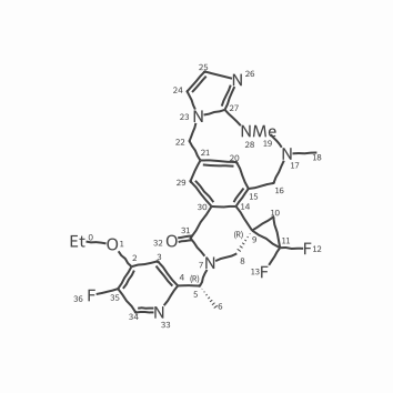 CCOc1cc([C@@H](C)N2C[C@@]3(CC3(F)F)c3c(CN(C)C)cc(Cn4ccnc4NC)cc3C2=O)ncc1F